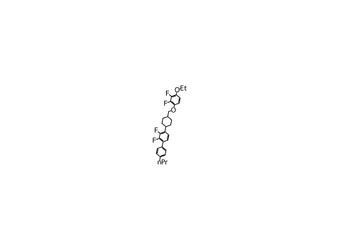 CCCc1ccc(-c2ccc(C3CCC(COc4ccc(OCC)c(F)c4F)CC3)c(F)c2F)cc1